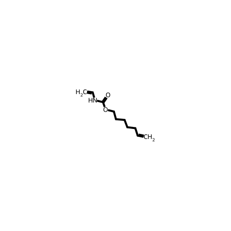 C=CCCCCCOC(=O)NC=C